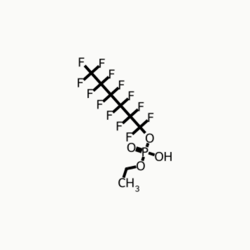 CCOP(=O)(O)OC(F)(F)C(F)(F)C(F)(F)C(F)(F)C(F)(F)C(F)(F)F